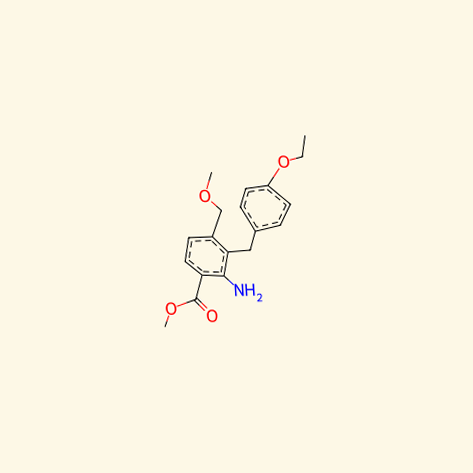 CCOc1ccc(Cc2c(COC)ccc(C(=O)OC)c2N)cc1